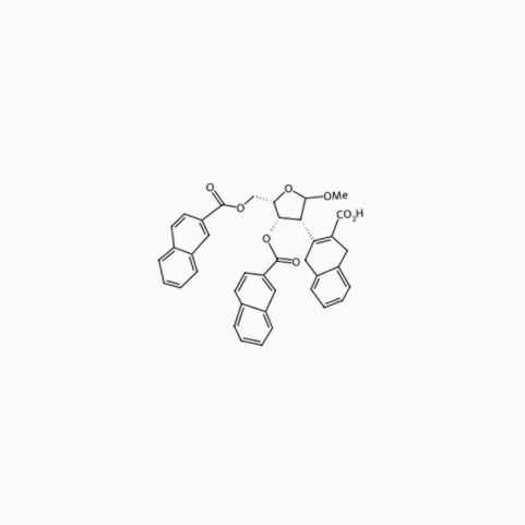 COC1O[C@@H](COC(=O)c2ccc3ccccc3c2)[C@@H](OC(=O)c2ccc3ccccc3c2)[C@H]1C1=C(C(=O)O)Cc2ccccc2C1